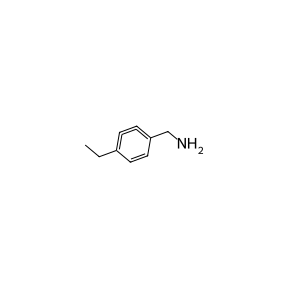 CCC1=C=C=C(CN)C=C1